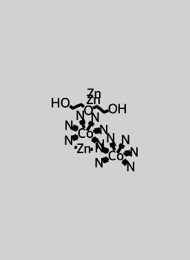 N#[C][Co]([C]#N)([C]#N)([C]#N)([C]#N)[C]#N.N#[C][Co]([C]#N)([C]#N)([C]#N)([C]#N)[C]#N.OCCOCCO.[CH3][Zn][CH3].[Zn].[Zn]